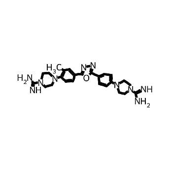 Cc1cc(-c2nnc(-c3ccc(N4CCN(C(=N)N)CC4)cc3)o2)ccc1N1CCN(C(=N)N)CC1